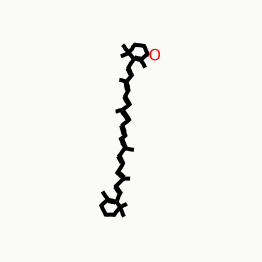 CC1=C(/C=C/C(C)=C/C=C/C(C)=C/C=C/C=C(C)/C=C/C=C(C)/C=C/C2=C(C)C(=O)CCC2(C)C)C(C)(C)CCC1